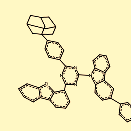 c1ccc(-c2ccc3c(c2)c2ccccc2n3-c2nc(-c3ccc(C45CC6CC(CC(C6)C4)C5)cc3)nc(-c3cccc4c3oc3ccccc34)n2)cc1